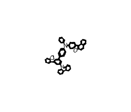 C1=CC2c3ccccc3N(c3cc(-c4ccc(N(c5ccccc5)C5C=Cc6c(oc7ccc8ccccc8c67)C5)cc4)c4oc5ccccc5c4c3)C2C=C1